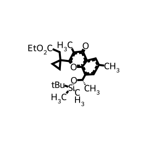 CCOC(=O)CC1(c2oc3c([C@H](C)O[Si](C)(C)C(C)(C)C)cc(C)cc3c(=O)c2C)CC1